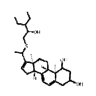 CCC(CC)[C@@H](O)CSC(C)C1=CC[C@H]2C3=CC=C4CC(O)CC(O)[C@]4(C)[C@H]3CC[C@]12C